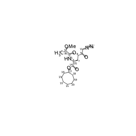 CO[C@H](C)C(=O)N[C@@H](CCC(=O)C=[N+]=[N-])C(=O)OC1CCCCCCC1